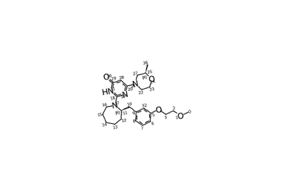 COCCOc1cccc(C[C@H]2CCCCCN2c2nc(N3CCO[C@H](C)C3)cc(=O)[nH]2)c1